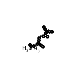 CC1(C)c2ccccc2-c2cc(-c3cc4c5cc6ccccc6cc5n5c6cc7cc(Cc8ccc(-c9ccccc9)c(-c9cc%10c%11cc%12ccccc%12cc%11n%11c%12cc%13ccccc%13cc%12c(c9)c%10%11)c8)ccc7cc6c(c3)c45)ccc21